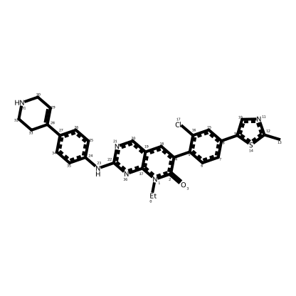 CCn1c(=O)c(-c2ccc(-c3cnc(C)s3)cc2Cl)cc2cnc(Nc3ccc(C4=CCNCC4)cc3)nc21